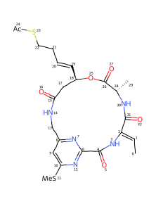 C/C=C1\NC(=O)c2nc(cc(SC)n2)CNC(=O)C[C@@H](/C=C/CCSC(C)=O)OC(=O)[C@H](C)NC1=O